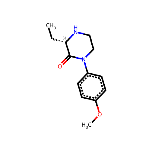 CC[C@@H]1NCCN(c2ccc(OC)cc2)C1=O